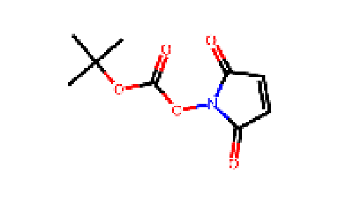 CC(C)(C)OC(=O)ON1C(=O)C=CC1=O